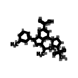 Cc1cccc(-n2nc(C(C)C)c3c(N4CCC(S(C)(=O)=O)C4)cc(C(=O)O)nc32)c1